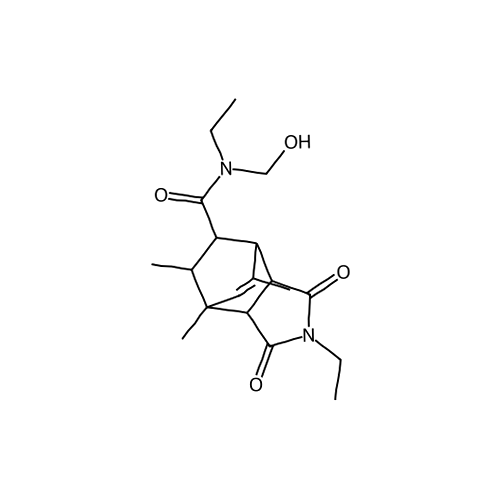 CCN(CO)C(=O)C1C2C(C)=CC(C)(C1C)C1C(=O)N(CC)C(=O)C21